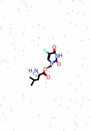 CC(C)C[C@H](N)C(=O)OCn1cc(F)c(=O)[nH]c1=O